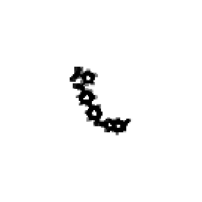 Cc1ccc2nc(Nc3ccc(-c4ccc(C(=O)[C@H]5CCC[C@@H]5C(=O)O)cc4)cc3)oc2c1